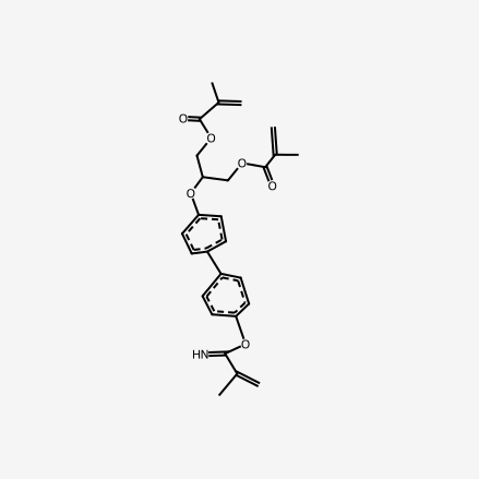 C=C(C)C(=N)Oc1ccc(-c2ccc(OC(COC(=O)C(=C)C)COC(=O)C(=C)C)cc2)cc1